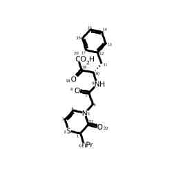 CCCC1SC=CN(CC(=O)N[C@@H](Cc2ccccc2)C(=O)C(=O)O)C1=O